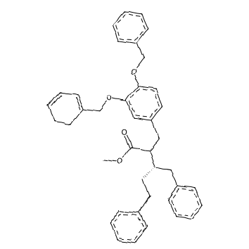 COC(=O)C(Cc1ccc(OCc2ccccc2)c(OCC2=CC=CCC2)c1)[C@@H](CCc1ccccc1)Cc1ccccc1